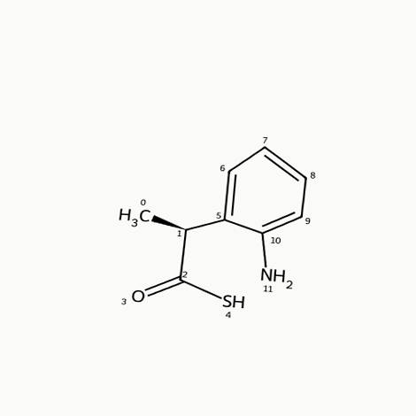 C[C@H](C(=O)S)c1ccccc1N